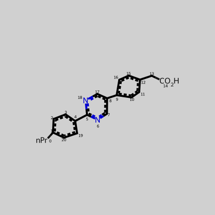 CCCc1ccc(-c2ncc(-c3ccc(CC(=O)O)cc3)cn2)cc1